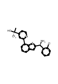 C[C@](O)(c1ccnc(-c2cccc3cc([C@@H](N)c4ccccc4Cl)sc23)c1)C(F)(F)F